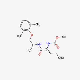 Cc1cccc(C)c1OCC(C)NC(=O)[C@H](CCC=O)NC(=O)OC(C)(C)C